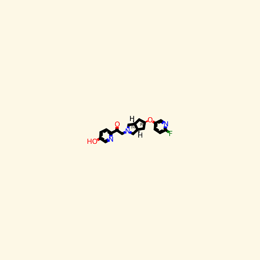 O=C(CN1C[C@H]2C[C@@H](Oc3ccc(F)nc3)C[C@H]2C1)c1ccc(O)cn1